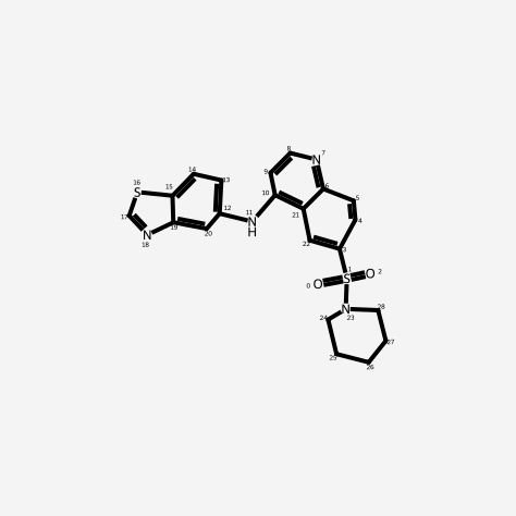 O=S(=O)(c1ccc2nccc(Nc3ccc4scnc4c3)c2c1)N1CCCCC1